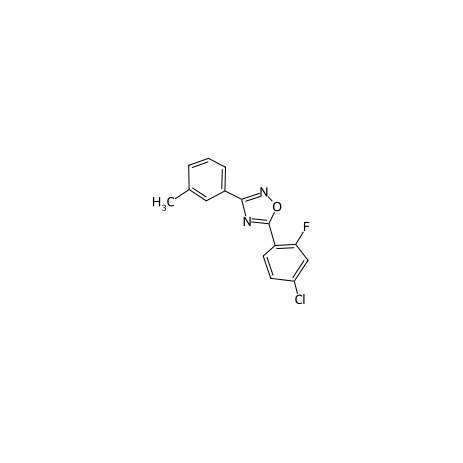 Cc1cccc(-c2noc(-c3ccc(Cl)cc3F)n2)c1